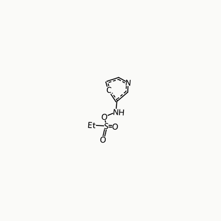 CCS(=O)(=O)ONc1cccnc1